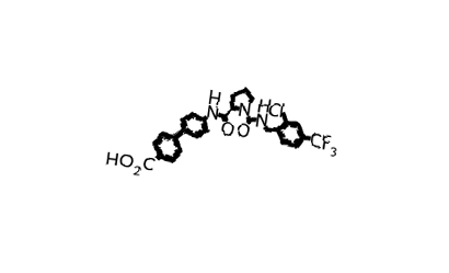 O=C(O)c1ccc(-c2ccc(NC(=O)[C@H]3CCCN3C(=O)NCc3ccc(C(F)(F)F)cc3Cl)cc2)cc1